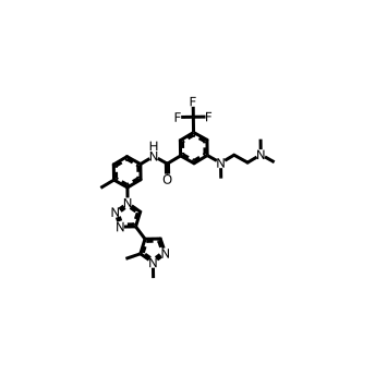 Cc1ccc(NC(=O)c2cc(N(C)CCN(C)C)cc(C(F)(F)F)c2)cc1-n1cc(-c2cnn(C)c2C)nn1